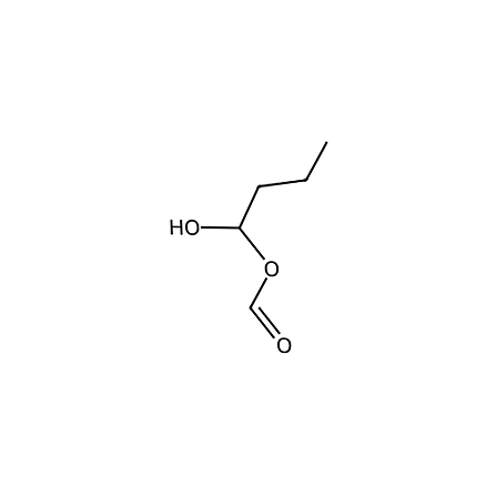 CCCC(O)OC=O